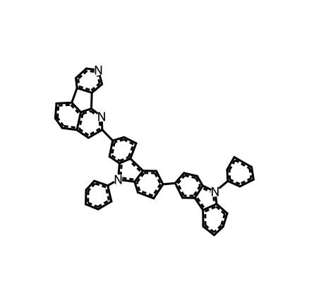 c1ccc(-n2c3ccccc3c3cc(-c4ccc5c(c4)c4ccc(-c6cc7cccc8c7c(n6)-c6cnccc6-8)cc4n5-c4ccccc4)ccc32)cc1